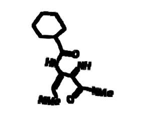 CN/C=C(/NC(=O)C1CCCCC1)C(=N)C(=O)NC